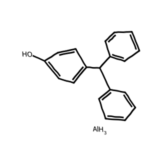 Oc1ccc(C(c2ccccc2)c2ccccc2)cc1.[AlH3]